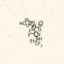 CCC(Nc1cc(C(F)F)c(-c2sc(C(=O)N[C@H]3CC[C@H]3O)nc2C(=O)N2CCC[C@@H]2C)cn1)C(F)(F)F